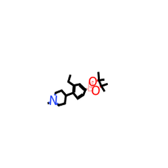 CCc1cc(B2OC(C)(C)C(C)(C)O2)ccc1C1CCN(C)CC1